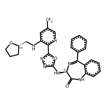 O=C1Nc2ccccc2C(c2ccccc2)=N[C@@H]1Nc1nnc(-c2ncc(C(F)(F)F)cc2NC[C@@H]2CCCO2)o1